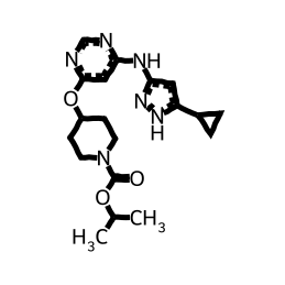 CC(C)OC(=O)N1CCC(Oc2cc(Nc3cc(C4CC4)[nH]n3)ncn2)CC1